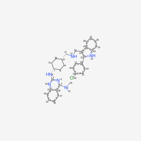 CN(C)c1nc(N[C@H]2CC[C@@H](CNCc3c(-c4ccc(Cl)cc4)[nH]c4ccccc34)CC2)nc2ccccc12